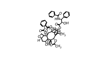 CC(=O)O[C@H]1C(=O)[C@@]2(O)[C@H]([C@H](OC(=O)c3ccccc3)[C@]3(O)C[C@H](OC(=O)[C@H](O)[C@@H](NC(=O)c4ccccc4)c4ccccc4)C(C)=C1C3(C)C)[C@]1(OC(C)=O)CO[C@@H]1C[C@@H]2O